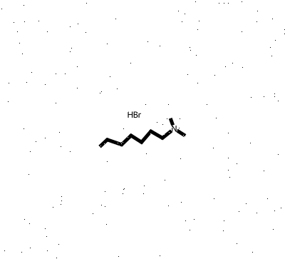 Br.CCCCCCCN(C)C